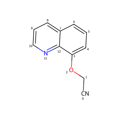 N#CCOc1cccc2cccnc12